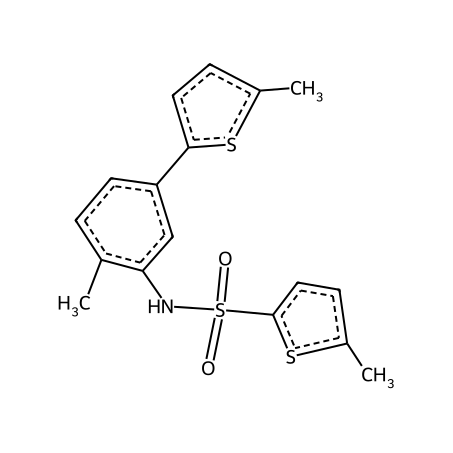 Cc1ccc(-c2ccc(C)c(NS(=O)(=O)c3ccc(C)s3)c2)s1